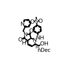 CCCCCCCCCC[C@@H](O)[C@H]1C=C[C@H]2C(=O)N(Cc3ccccn3)C(=O)C2N1Nc1ccc(S(C)(=O)=O)cc1